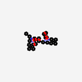 c1ccc(-c2ccc(N(c3ccc4c(c3)C3(c5ccccc5-c5ccccc53)c3ccccc3-4)c3cccc4c5ccc(-c6ccc(-c7cccc(N(c8ccc9c(c8)C(c8ccccc8)(c8ccccc8)c8ccccc8-9)c8cccc9c%10cc(-c%11ccccc%11)ccc%10n(-c%10ccc(-c%11ccccc%11)cc%10)c89)c7-c7ccccc7)cc6)cc5n(-c5ccc(-c6ccccc6)cc5)c34)cc2)cc1